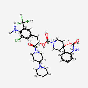 CNc1c(Cl)cc(C[C@@H](OC(=O)N2CCC3(CC2)OC(=O)Nc2ccccc23)C(=O)N2CCC(N3CCCCC3)CC2)cc1C(F)(F)F